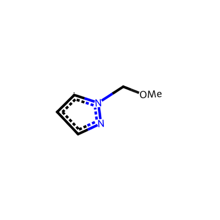 COCn1[c]ccn1